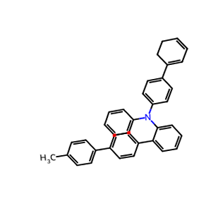 Cc1ccc(-c2ccc(-c3ccccc3N(c3ccccc3)c3ccc(C4=CC=CCC4)cc3)cc2)cc1